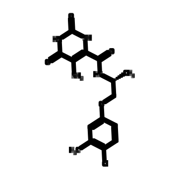 Cc1cc(OC[C@@H](C)NC(=O)c2[nH]c(=O)[nH]c(=O)c2N)ccc1Cl